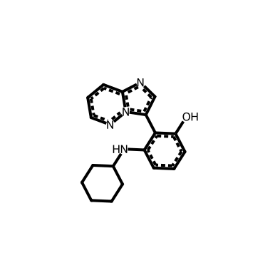 Oc1cccc(NC2CCCCC2)c1-c1cnc2cccnn12